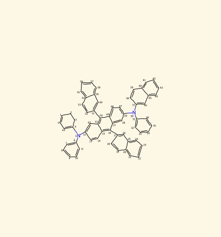 C1=CCCC(N(c2ccccc2)c2ccc3c(-c4ccc5ccccc5c4)c4cc(N(c5ccccc5)c5ccc6ccccc6c5)ccc4c(-c4ccc5ccccc5c4)c3c2)=C1